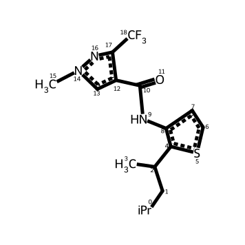 CC(C)CC(C)c1sccc1NC(=O)c1cn(C)nc1C(F)(F)F